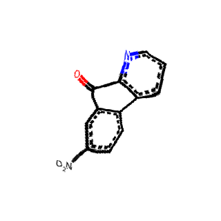 O=C1c2cc([N+](=O)[O-])ccc2-c2cccnc21